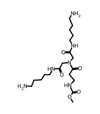 COC(=O)NCCC(=O)N(CC(=O)NCCCCCN)CC(=O)NCCCCCN